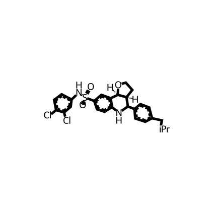 CC(C)Cc1ccc(C2Nc3ccc(S(=O)(=O)Nc4ccc(Cl)c(Cl)c4)cc3[C@H]3OCC[C@@H]23)cc1